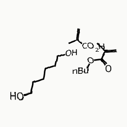 C=C(C)C(=O)O.C=C(C)C(=O)OCCCC.OCCCCCCO